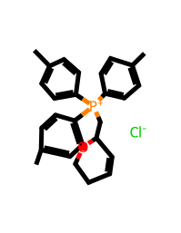 Cc1ccc([P+](CC2C=CCCO2)(c2ccc(C)cc2)c2ccc(C)cc2)cc1.[Cl-]